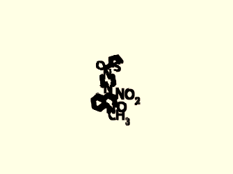 Cn1c(=O)c([N+](=O)[O-])c(N2CCN(C(=O)C3CC=CS3)CC2)c2ccccc21